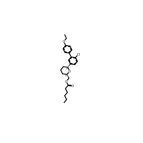 CCCCCC(=O)OC[C@H]1CCC[C@@H](c2ccc(Cl)c(-c3ccc(OCC)cc3)c2)O1